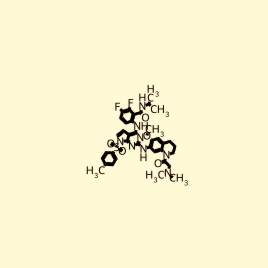 COc1cc2c(cc1Nc1nc(Nc3ccc(F)c(F)c3C(=O)NC(C)C)c3ccn(S(=O)(=O)c4ccc(C)cc4)c3n1)N(C(=O)CN(C)C)CCC2